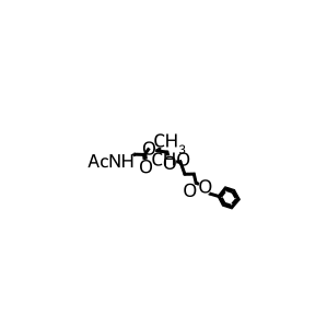 CC(=O)NCC(=O)OC(C)(C=O)COCCCC(=O)OCc1ccccc1